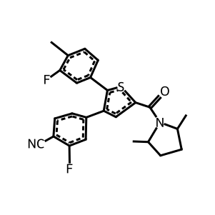 Cc1ccc(-c2sc(C(=O)N3C(C)CCC3C)cc2-c2ccc(C#N)c(F)c2)cc1F